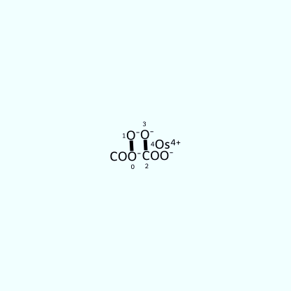 O=C([O-])[O-].O=C([O-])[O-].[Os+4]